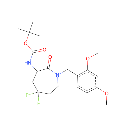 COc1ccc(CN2CCC(F)(F)CC(NC(=O)OC(C)(C)C)C2=O)c(OC)c1